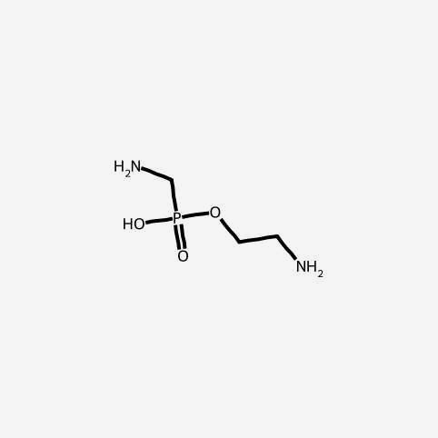 NCCOP(=O)(O)CN